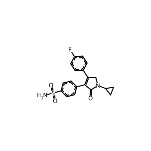 NS(=O)(=O)c1ccc(C2=C(c3ccc(F)cc3)CN(C3CC3)C2=O)cc1